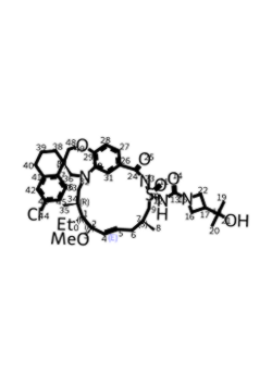 CC[C@H]1[C@@H](OC)/C=C/C[C@H](C)C[S@@](=O)(NC(=O)N2CC(C(C)(C)O)C2)=NC(=O)c2ccc3c(c2)N(C[C@@H]1C)C[C@@]1(CCCc2cc(Cl)ccc21)CO3